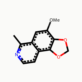 COc1cc2c(C)nccc2c2c1OCO2